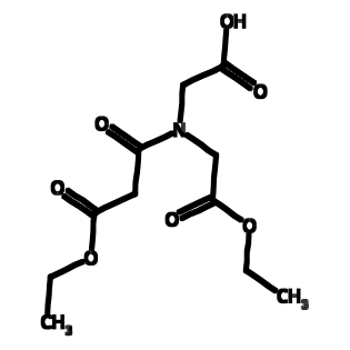 CCOC(=O)CC(=O)N(CC(=O)O)CC(=O)OCC